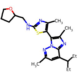 CCC(CC)c1cc(C)nn2c(-c3sc(NCC4CCCO4)nc3C)c(C)nc12